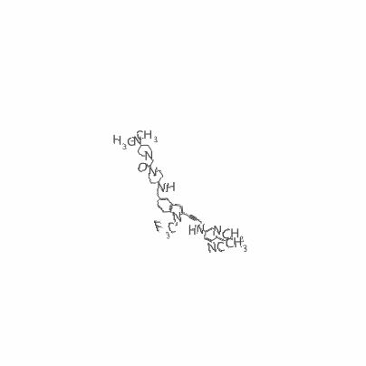 CN(C)C1CCN(CC(=O)N2CCC(NCc3ccc4c(c3)cc(C#CCNc3ccc(C(C)(C)C#N)nc3)n4CC(F)(F)F)CC2)CC1